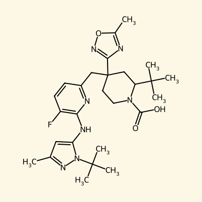 Cc1cc(Nc2nc(CC3(c4noc(C)n4)CCN(C(=O)O)C(C(C)(C)C)C3)ccc2F)n(C(C)(C)C)n1